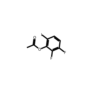 CC(=O)Oc1c(I)ccc(F)c1F